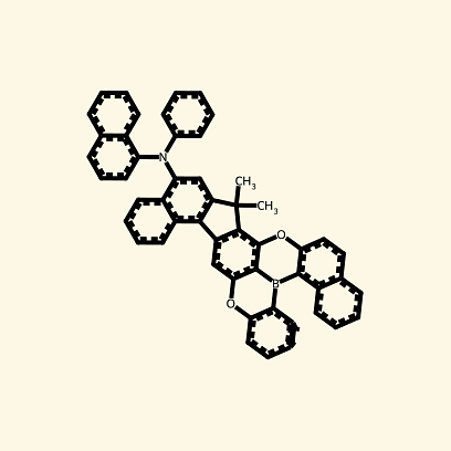 CC1(C)c2cc(N(c3ccccc3)c3cccc4ccccc34)c3ccccc3c2-c2cc3c4c(c21)Oc1ccc2ccccc2c1B4c1c(ccc2ccccc12)O3